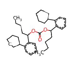 CCCCC(OC(=O)OC(CCCC)c1ccccc1C1CCCCC1)c1ccccc1C1CCCCC1